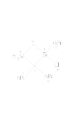 CCCC1(CCC)[SiH2]C[Si]1(Cl)CCC